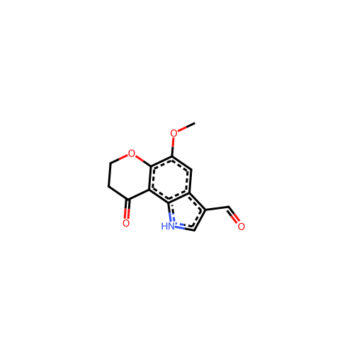 COc1cc2c(C=O)c[nH]c2c2c1OCCC2=O